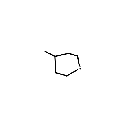 IC1CCSCC1